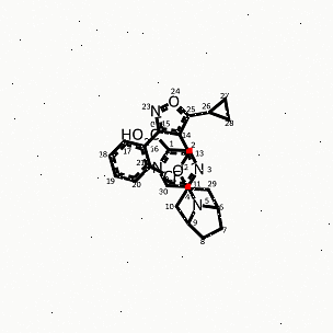 O=C(O)c1cnc(N2C3CCC2CC(OCc2c(-c4ccccc4C(F)(F)F)noc2C2CC2)C3)cn1